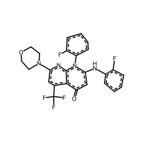 O=c1cc(Nc2ccccc2F)n(-c2ccccc2F)c2nc(N3CCOCC3)cc(C(F)(F)F)c12